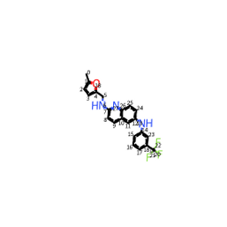 Cc1ccc(CNc2ccc3cc(Nc4cccc(C(F)(F)F)c4)ccc3n2)o1